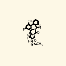 CCS(=O)(=O)N[C@@H]1CN2C(=O)N(c3noc4cccc(-c5ccc(F)cc5C)c34)CC[C@@H]2C1(F)F